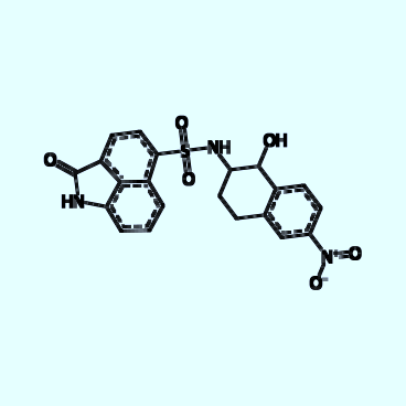 O=C1Nc2cccc3c(S(=O)(=O)NC4CCc5cc([N+](=O)[O-])ccc5C4O)ccc1c23